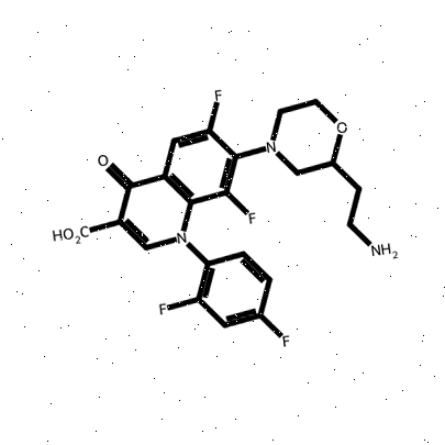 NCCC1CN(c2c(F)cc3c(=O)c(C(=O)O)cn(-c4ccc(F)cc4F)c3c2F)CCO1